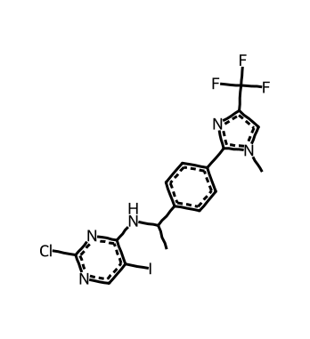 CC(Nc1nc(Cl)ncc1I)c1ccc(-c2nc(C(F)(F)F)cn2C)cc1